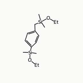 CCO[Si](C)(C)Cc1ccc([Si](C)(C)OCC)cc1